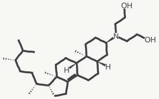 CC(C)[C@@H](C)CC[C@@H](C)[C@H]1CCC2=C3CC[C@H]4C[C@H](N(CCO)CCO)CC[C@]4(C)[C@H]3CC[C@@]21C